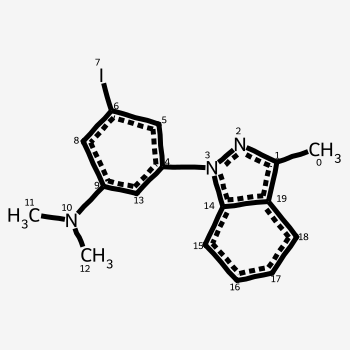 Cc1nn(-c2cc(I)cc(N(C)C)c2)c2ccccc12